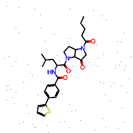 CCCCC(=O)N1CC(=O)C2C1CCN2C(=O)C(CC(C)C)NC(=O)c1ccc(-c2cccs2)cc1